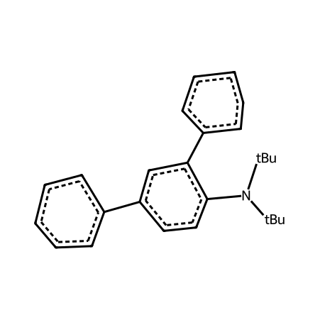 CC(C)(C)N(c1ccc(-c2ccccc2)cc1-c1ccccc1)C(C)(C)C